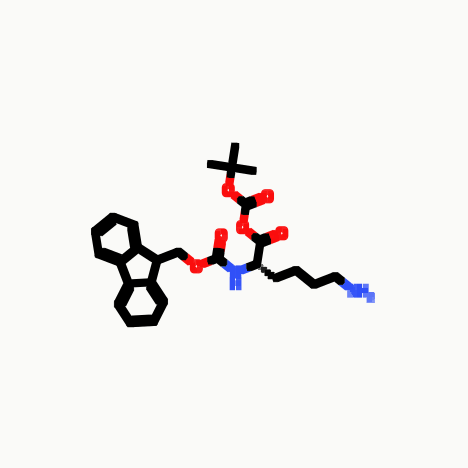 CC(C)(C)OC(=O)OC(=O)[C@H](CCCCN)NC(=O)OCC1c2ccccc2-c2ccccc21